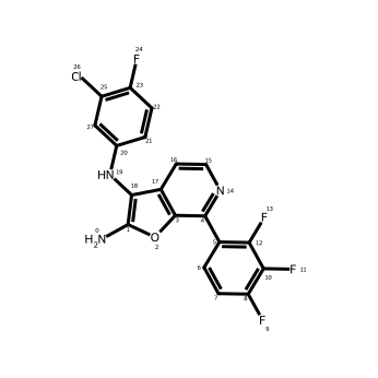 Nc1oc2c(-c3ccc(F)c(F)c3F)nccc2c1Nc1ccc(F)c(Cl)c1